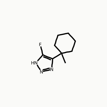 CC1(c2nn[nH]c2F)CCCCC1